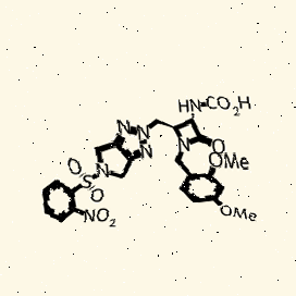 COc1ccc(CN2C(=O)[C@@H](NC(=O)O)[C@@H]2Cn2nc3c(n2)CN(S(=O)(=O)c2ccccc2[N+](=O)[O-])C3)c(OC)c1